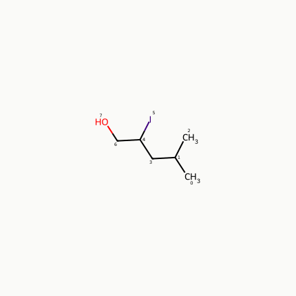 CC(C)CC(I)CO